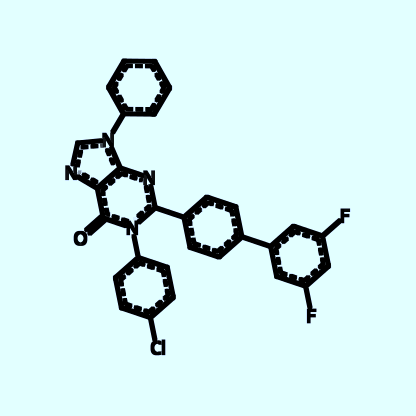 O=c1c2ncn(-c3ccccc3)c2nc(-c2ccc(-c3cc(F)cc(F)c3)cc2)n1-c1ccc(Cl)cc1